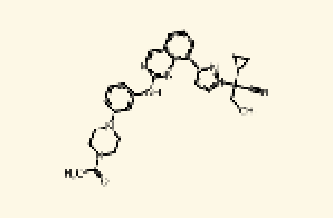 CCC(C#N)(C1CC1)n1ccc(-c2cccc3cnc(Nc4cccc(N5CCN(C(C)=O)CC5)c4)nc23)n1